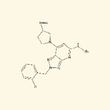 CC(=O)NC1CCN(c2nc(NC(C)(C)C)nc3nn(Cc4ccccc4Cl)nc23)C1